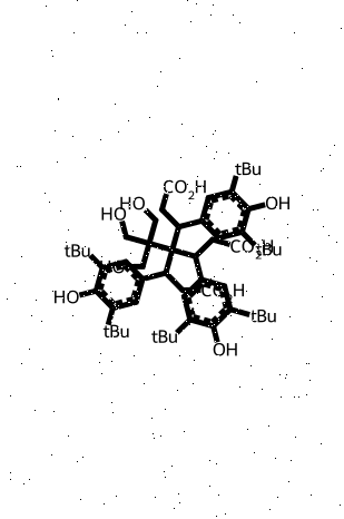 CC(C)(C)c1cc(C(CC(=O)O)C(C(CC(=O)O)c2cc(C(C)(C)C)c(O)c(C(C)(C)C)c2)(C(CC(=O)O)c2cc(C(C)(C)C)c(O)c(C(C)(C)C)c2)C(CO)(CO)CO)cc(C(C)(C)C)c1O